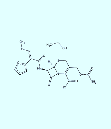 CCO.CO/N=C(/C(=O)N[C@@H]1C(=O)N2C(C(=O)O)=C(COC(N)=O)CS[C@H]12)c1ccco1